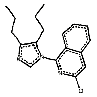 CCCc1ncn(-c2nc(Cl)cc3ccccc23)c1CCC